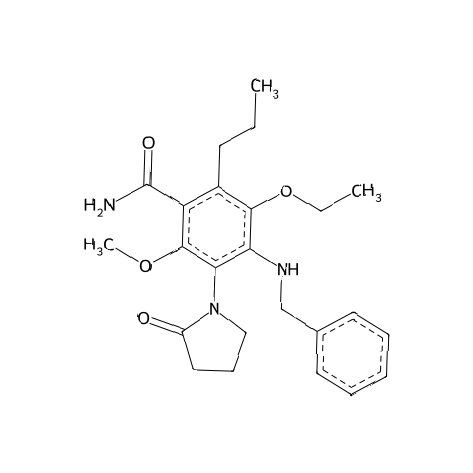 CCCc1c(OCC)c(NCc2ccccc2)c(N2CCCC2=O)c(OC)c1C(N)=O